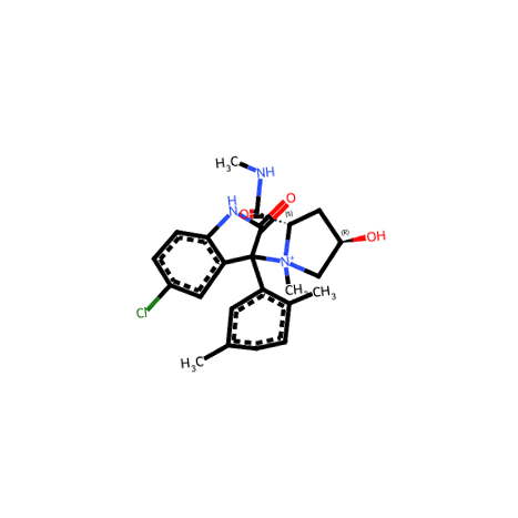 CNC(=O)[C@@H]1C[C@@H](O)C[N+]1(C)C1(c2cc(C)ccc2C)C(=O)Nc2ccc(Cl)cc21